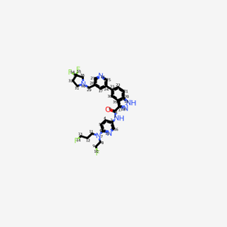 O=C(Nc1ccc(N(CCF)CCCF)nc1)c1n[nH]c2ccc(-c3cncc(CN4CCC(F)(F)C4)c3)cc12